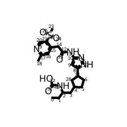 CCC(CC1CCC(c2cc(NC(=O)Cc3cc(C)ncc3S(C)(=O)=O)n[nH]2)C1)NC(=O)O